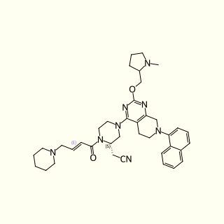 CN1CCCC1COc1nc2c(c(N3CCN(C(=O)/C=C/CN4CCCCC4)[C@@H](CC#N)C3)n1)CCN(c1cccc3ccccc13)C2